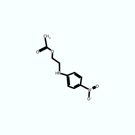 CC(=O)OCCNc1ccc([N+](=O)[O-])cc1